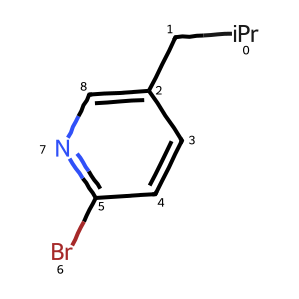 CC(C)Cc1ccc(Br)nc1